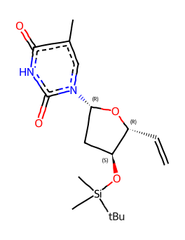 C=C[C@H]1O[C@@H](n2cc(C)c(=O)[nH]c2=O)C[C@@H]1O[Si](C)(C)C(C)(C)C